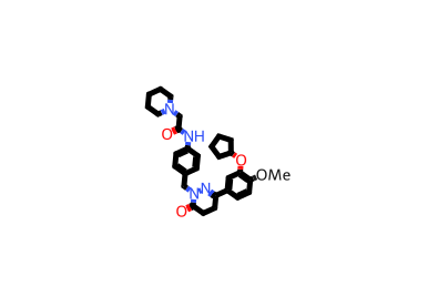 COc1ccc(C2=NN(Cc3ccc(NC(=O)CN4CCCCC4)cc3)C(=O)CC2)cc1OC1CCCC1